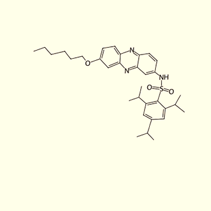 CCCCCCOc1ccc2nc3ccc(NS(=O)(=O)c4c(C(C)C)cc(C(C)C)cc4C(C)C)cc3nc2c1